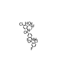 O=C(Nc1ccc(C(=O)N2CCC(F)(F)[C@H](O)c3cc(Cl)ccc32)cc1F)c1cc(F)ccc1Cl